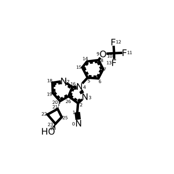 N#Cc1nn(-c2ccc(OC(F)(F)F)cc2)c2nccc([C@H]3C[C@H](O)C3)c12